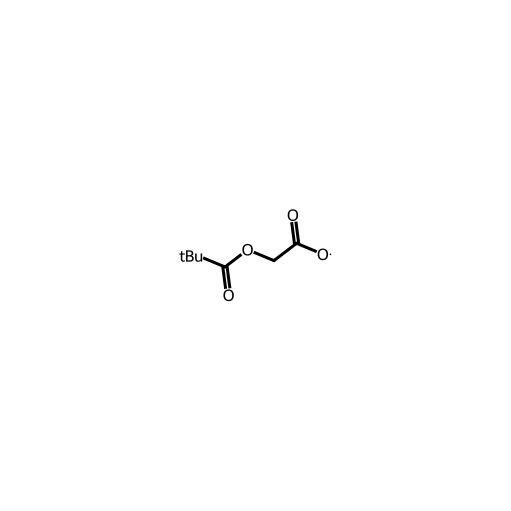 CC(C)(C)C(=O)OCC([O])=O